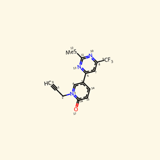 C#CCn1cc(-c2cc(C(F)(F)F)nc(SC)n2)ccc1=O